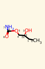 CC[C@H](O)COC(N)=O